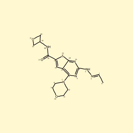 C/C=N/Nc1nc(N2CCOCC2)c2cc(C(=O)NC3COC3)sc2n1